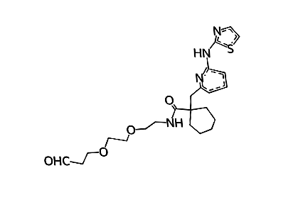 O=CCCOCCOCCNC(=O)C1(Cc2cccc(Nc3nccs3)n2)CCCCC1